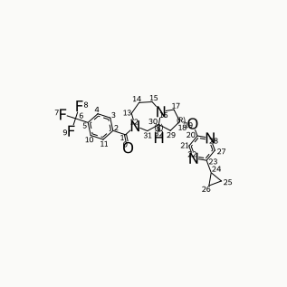 O=C(c1ccc(C(F)(F)F)cc1)N1CCCN2C[C@H](Oc3cnc(C4CC4)cn3)C[C@@H]2C1